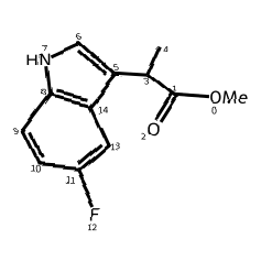 COC(=O)C(C)c1c[nH]c2ccc(F)cc12